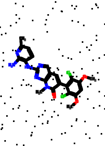 COc1cc(OC)c(Cl)c(-c2cc3cnc(Nc4ccc(C)nc4N)nc3n(C)c2=O)c1Cl